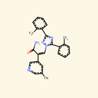 N#Cc1cncc(C(=Cn2nc(-c3ccccc3C(F)(F)F)nc2-c2ccccc2C(F)(F)F)C(N)=O)c1